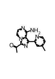 CC(=O)c1nc(-c2cc(C)ccn2)c2c(N)nccn12